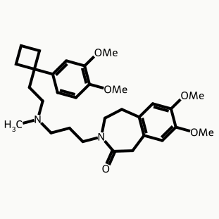 COc1ccc(C2(CCN(C)CCCN3CCc4cc(OC)c(OC)cc4CC3=O)CCC2)cc1OC